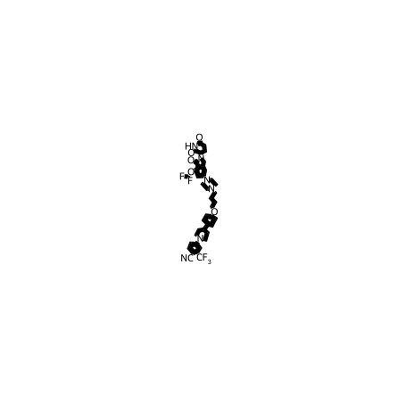 N#Cc1ccc(N2CCC(c3ccc(OCCCCN4CCN(c5cc6c(c(OC(F)F)c5)C(=O)N(C5CCC(=O)NC5=O)C6)CC4)cc3)CC2)cc1C(F)(F)F